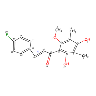 COc1c(C)c(O)c(C)c(O)c1C(=O)/C=C/c1ccc(F)cc1